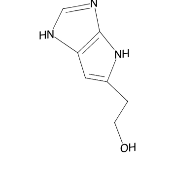 OCCc1cc2[nH]cnc2[nH]1